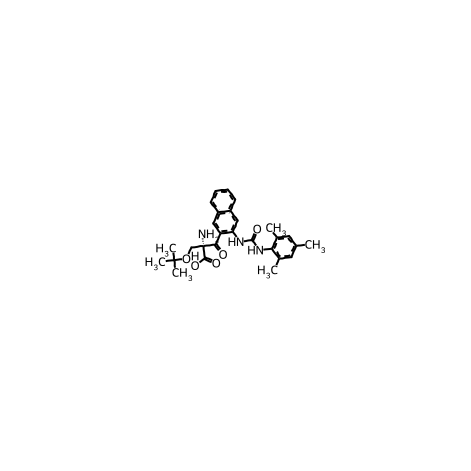 Cc1cc(C)c(NC(=O)Nc2cc3ccccc3cc2C(=O)[C@](N)(COC(C)(C)C)C(=O)O)c(C)c1